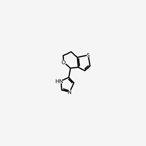 c1ncc(C2OCCc3sccc32)[nH]1